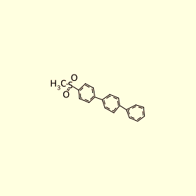 CS(=O)(=O)c1ccc(-c2ccc(-c3ccccc3)cc2)cc1